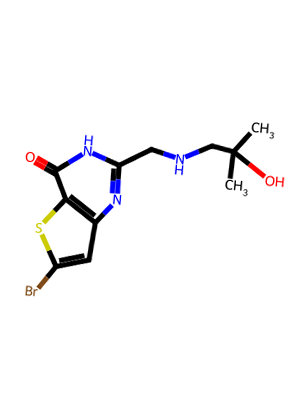 CC(C)(O)CNCc1nc2cc(Br)sc2c(=O)[nH]1